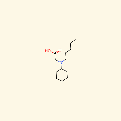 CCCCCN(CC(=O)O)C1CCCCC1